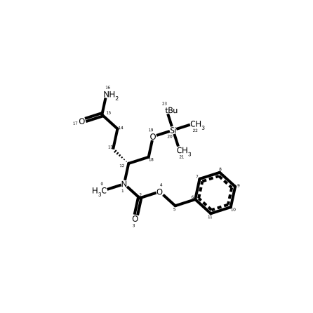 CN(C(=O)OCc1ccccc1)[C@H](CCC(N)=O)CO[Si](C)(C)C(C)(C)C